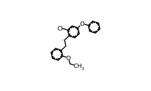 CCOc1ccccc1C[CH]c1ccc(Oc2ccccc2)cc1Cl